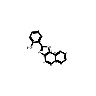 Oc1ccccc1-c1nc2ccc3ccccc3c2s1